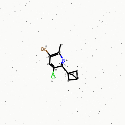 Cc1nc(C23CC(C2)C3)c(Cl)cc1Br